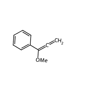 C=C=C(OC)c1ccccc1